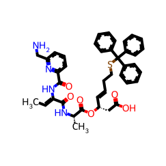 C/C=C(\NC(=O)c1cccc(CN)n1)C(=O)N[C@@H](C)C(=O)O[C@H](/C=C/CCSC(c1ccccc1)(c1ccccc1)c1ccccc1)CC(=O)O